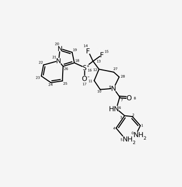 N/C=C\C(=C/N)NC(=O)N1CCC(C(F)(F)[S+]([O-])c2cnn3ccccc23)CC1